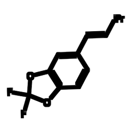 CC(C)/C=C/c1ccc2c(c1)OC(F)(F)O2